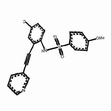 COc1ccc(S(=O)(=O)Nc2ccc(Cl)cc2C#Cc2cccnc2)cc1